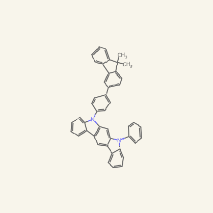 CC1(C)c2ccccc2-c2cc(-c3ccc(-n4c5ccccc5c5cc6c7ccccc7n(-c7ccccc7)c6cc54)cc3)ccc21